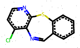 Clc1ccnc2c1N=Cc1ccccc1S2